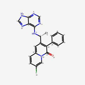 CC[C@@H](Nc1ncnc2[nH]cnc12)c1cc2ccc(F)cn2c(=O)c1-c1ccccc1